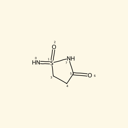 N=S1(=O)CCC(=O)N1